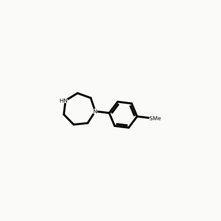 CSc1ccc(N2CCCNCC2)cc1